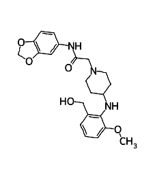 COc1cccc(CO)c1NC1CCN(CC(=O)Nc2ccc3c(c2)OCO3)CC1